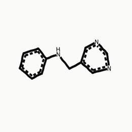 c1ccc(NCc2cncnc2)cc1